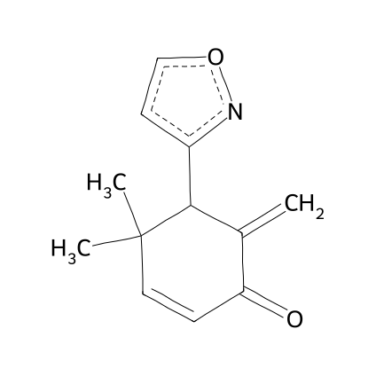 C=C1C(=O)C=CC(C)(C)C1c1ccon1